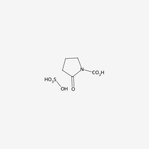 O=C(O)N1CCCC1=O.O=S(=O)(O)O